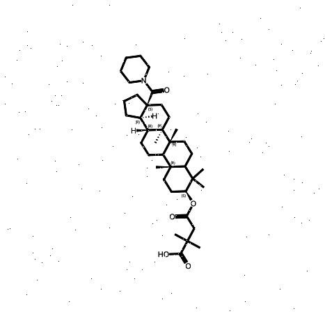 CC(C)(CC(=O)O[C@H]1CC[C@@]2(C)C(CC[C@]3(C)C2CC[C@@H]2[C@H]4CCC[C@]4(C(=O)N4CCCCC4)CC[C@]23C)C1(C)C)C(=O)O